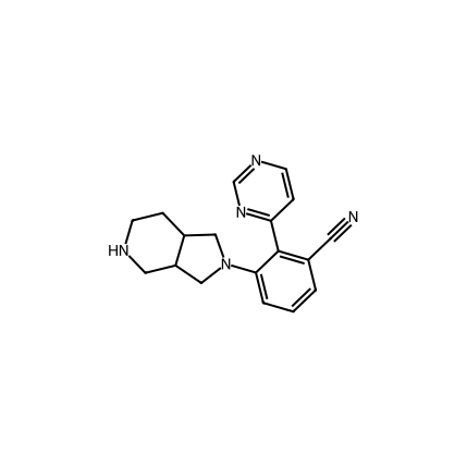 N#Cc1cccc(N2CC3CCNCC3C2)c1-c1ccncn1